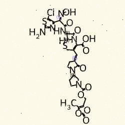 Cc1oc(=O)oc1COC(=O)N1CC[C@@H](N2CC/C(=C\C3=C(C(=O)O)N4C(=O)[C@@H](NC(=O)/C(=N\O)c5nc(N)sc5Cl)[C@H]4SC3)C2=O)C1